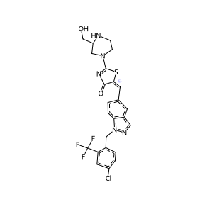 O=C1N=C(N2CCNC(CO)C2)S/C1=C/c1ccc2c(cnn2Cc2ccc(Cl)cc2C(F)(F)F)c1